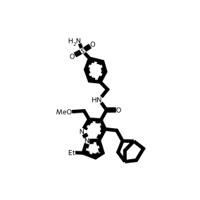 CCc1ccc2c(CC3CC4CCC3C4)c(C(=O)NCc3ccc(S(N)(=O)=O)cc3)c(COC)nn12